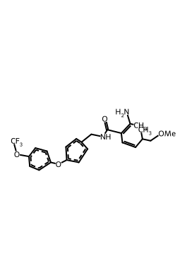 COCC(C)/C=C\C(C(=O)NCc1ccc(Oc2ccc(OC(F)(F)F)cc2)cc1)=C(/C)N